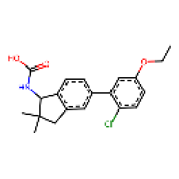 CCOc1ccc(Cl)c(-c2ccc3c(c2)CC(C)(C)C3NC(=O)O)c1